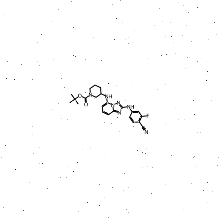 CC(C)(C)OC(=O)N1CCCC(Nc2cccc3nc(Nc4ccc(C#N)c(F)c4)nn23)C1